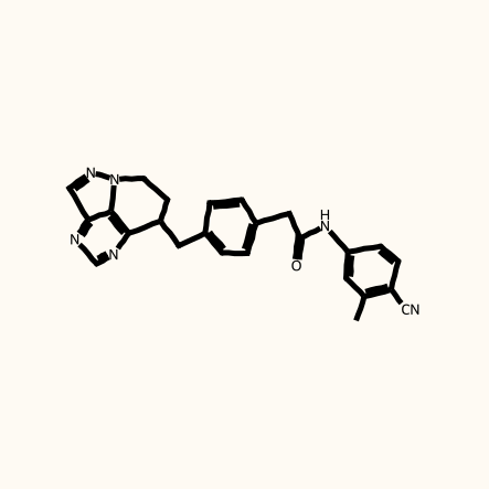 Cc1cc(NC(=O)Cc2ccc(CC3CCn4ncc5ncnc3c54)cc2)ccc1C#N